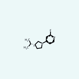 CC(C)[C@H]1CCN(c2ccnc(F)c2)C1